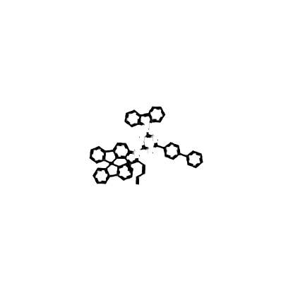 C=C/C=C\c1c(C)c2c3c(ccc2n1-c1nc(-c2ccc(-c4ccccc4)cc2)nc(-n2c4ccccc4c4ccccc42)n1)-c1ccccc1C31c2ccccc2-c2ccccc21